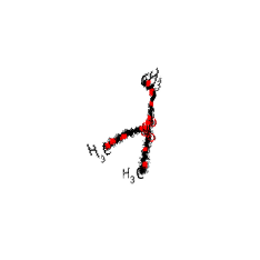 CCCCCC/C=C\CCCCCCCC(=O)OC[C@H](COC(=O)CCCCCCCCCCCCC)OC(=O)CCCCCCCCCCCCCC